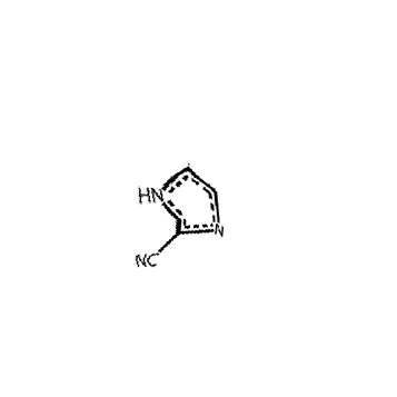 N#Cc1nc[c][nH]1